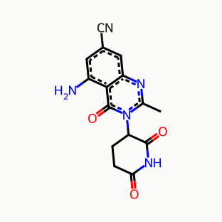 Cc1nc2cc(C#N)cc(N)c2c(=O)n1C1CCC(=O)NC1=O